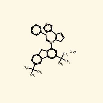 CC(C)(C)c1ccc2c(c1)-c1cc(C(C)(C)C)c[c]([Zr+2](=[CH]Cc3ccccc3)[C]3=C(c4ccsc4)C=CC3)c1C2.[Cl-].[Cl-]